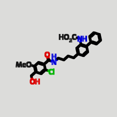 COc1cc(C(=O)NCCCCc2ccc(-c3ccccc3)c(NC(=O)O)c2)c(Cl)cc1CO